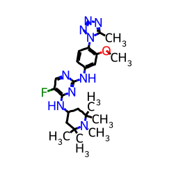 COc1cc(Nc2ncc(F)c(NC3CC(C)(C)N(C)C(C)(C)C3)n2)ccc1-n1nnnc1C